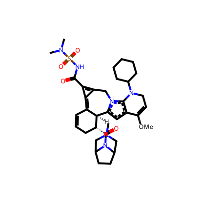 COC1=CCN(C2CCCCC2)c2c1cc1n2CC2=C(C(=O)NS(=O)(=O)N(C)C)C2=C2C=CC[C@@H](C(=O)N3C4CCC3CN(C)C4)[C@@H]21